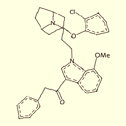 COc1cccc2c(C(=O)Cc3ccccc3)cn(CCCN3C4CCC3CC(Oc3ccccc3Cl)C4)c12